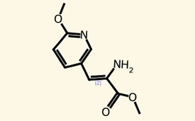 COC(=O)/C(N)=C/c1ccc(OC)nc1